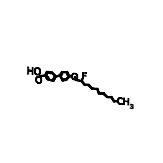 CCCCCCCCCCC(F)COc1ccc(-c2ccc(C(=O)O)cc2)cc1